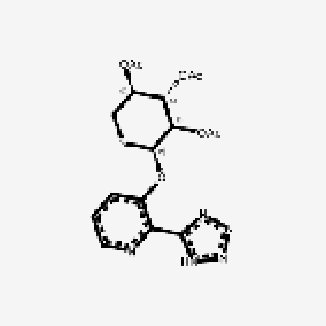 CC(=O)O[C@@H]1[C@@H](OC(C)=O)[C@@H](Oc2cccnc2-c2nnn[nH]2)SC[C@H]1OC(C)=O